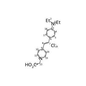 CCN(CC)c1ccc(/C=C/c2cc[n+](CC(=O)O)cc2)cc1.[Cl-]